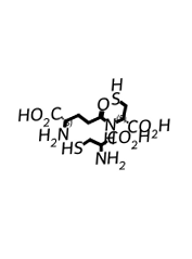 NC(CS)C(=O)O.N[C@@H](CCC(=O)N[C@H](CS)C(=O)O)C(=O)O